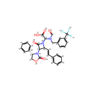 O=CN(Cc1cccc(C(F)(F)F)c1)C(C(=O)O)N1C(=O)C(N2C(=O)OC[C@@H]2c2ccccc2)C1C=Cc1ccccc1